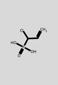 C=CC(Cl)P(=O)(O)O